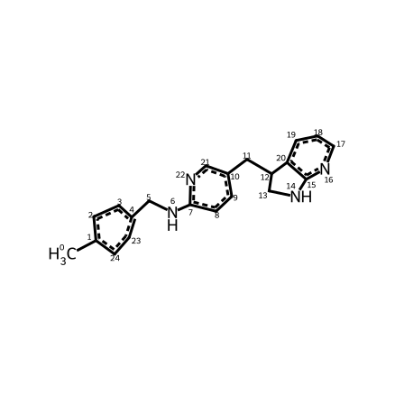 Cc1ccc(CNc2ccc(CC3CNc4ncccc43)cn2)cc1